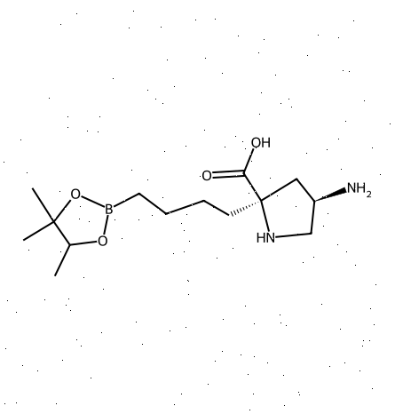 CC1OB(CCCC[C@]2(C(=O)O)C[C@@H](N)CN2)OC1(C)C